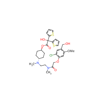 COc1cc(OCC(=O)N(C)CCN(C)[C@H]2CC[C@H](OC(=O)C(O)(c3cccs3)c3cccs3)CC2)c(Cl)cc1CO